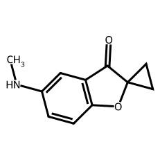 CNc1ccc2c(c1)C(=O)C1(CC1)O2